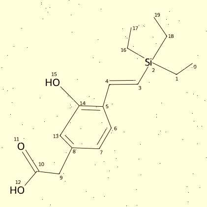 CC[Si](C=Cc1ccc(CC(=O)O)cc1O)(CC)CC